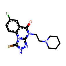 O=c1c2cc(F)ccc2n2c(=S)[nH]nc2n1CCN1CCCCC1